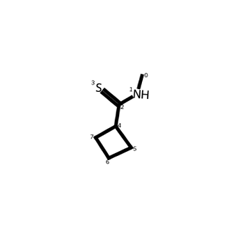 CNC(=S)C1CCC1